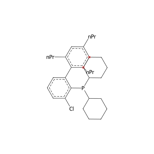 CCCc1cc(CCC)c(-c2cccc(Cl)c2P(C2CCCCC2)C2CCCCC2)c(CCC)c1